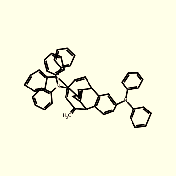 C=C1/C=C(N(c2ccccc2)c2ccccc2)\C=C/C2c3cc(N(c4ccccc4)c4ccccc4)ccc3C1c1ccc(N(c3ccccc3)c3ccccc3)cc12